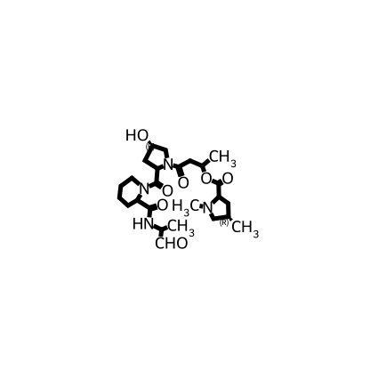 CC(C=O)NC(=O)C1CCCCN1C(=O)C1C[C@@H](O)CN1C(=O)CC(C)OC(=O)C1C[C@@H](C)CN1C